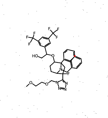 COCCOCn1nnnc1C1(F)CC2(c3ccccc3)C(OC(CO)c3cc(C(F)(F)F)cc(C(F)(F)F)c3)CCC1N2Cc1ccccc1